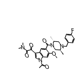 COc1cc2c(cc1C(=O)N1C[C@H](C)N(Cc3ccc(F)cc3)C[C@H]1C)c(C(=O)C(=O)N(C)C)cn2C(C)=O